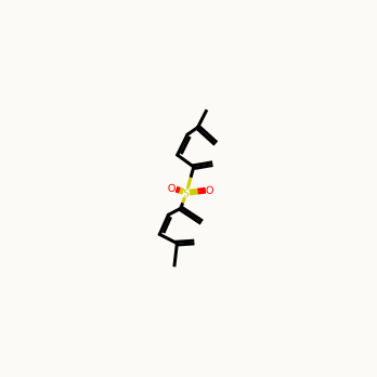 C=C(C)/C=C\C(=C)S(=O)(=O)C(=C)/C=C\C(=C)C